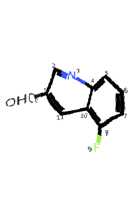 O=Cc1cnc2cccc(F)c2c1